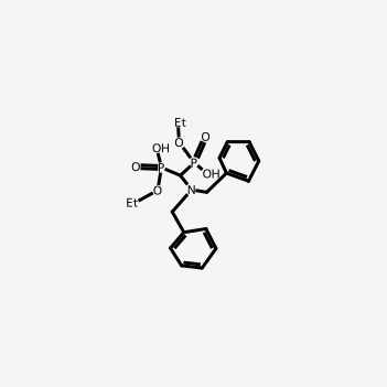 CCOP(=O)(O)C(N(Cc1ccccc1)Cc1ccccc1)P(=O)(O)OCC